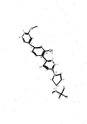 COc1cc(-c2ccc(-c3ccc(N4CC[C@H](N(C)C(C)(C)C)C4)nn3)c(O)c2)cnn1